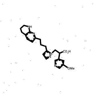 COc1cncc(C(Cn2nccc2CCCc2ccc3c(n2)NCCC3)C(=O)O)c1